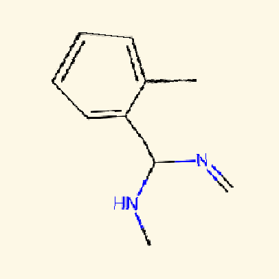 C=NC(NC)c1ccccc1C